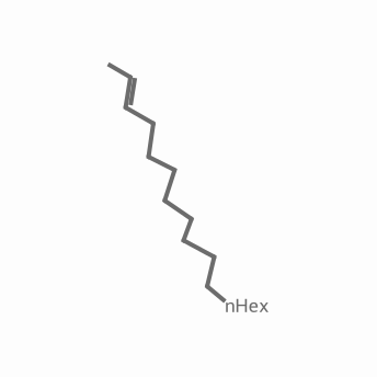 [CH2]CCCCCCCCCCCCCC=CC